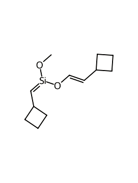 CO[Si](=CC1CCC1)OC=CC1CCC1